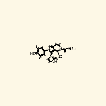 Cc1cc(-n2nc3c(c2N2C=CNC2=C=O)[C@H](C)N(C(=O)OC(C)(C)C)CC3)cc(C)c1C#N